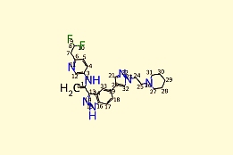 C=C(Nc1ccc(CC(F)F)nc1)c1n[nH]c2ccc(-c3cnn(CCN4CCCCC4)c3)cc12